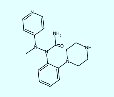 CN(c1ccncc1)N(C(N)=O)c1ccccc1N1CCNCC1